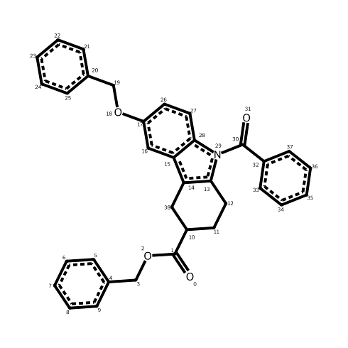 O=C(OCc1ccccc1)C1CCc2c(c3cc(OCc4ccccc4)ccc3n2C(=O)c2ccccc2)C1